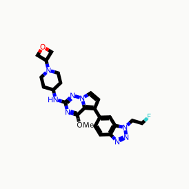 COc1nc(NC2CCN(C3COC3)CC2)nn2ccc(-c3ccc4nnn(CCF)c4c3)c12